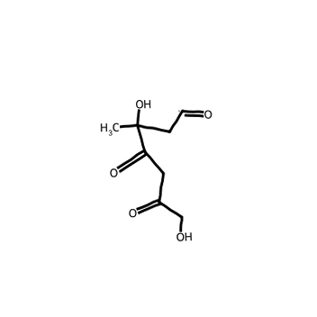 CC(O)(C[C]=O)C(=O)CC(=O)CO